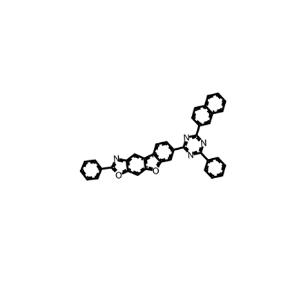 c1ccc(-c2nc(-c3ccc4ccccc4c3)nc(-c3ccc4c(c3)oc3cc5oc(-c6ccccc6)nc5cc34)n2)cc1